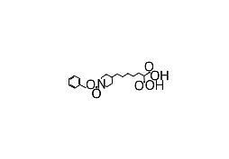 O=C(O)C(CCCCCC1CCN(C(=O)OCc2ccccc2)CC1)C(=O)O